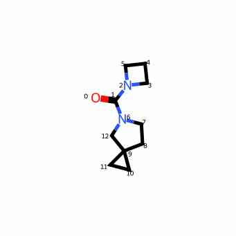 O=C(N1CCC1)N1CCC2(CC2)C1